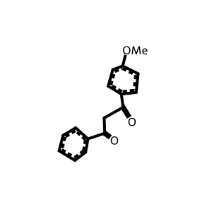 COc1ccc(C(=O)CC(=O)c2ccccc2)cc1